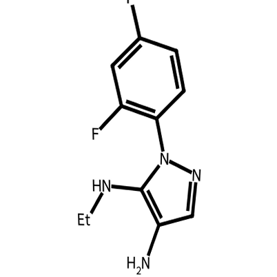 CCNc1c(N)cnn1-c1ccc(F)cc1F